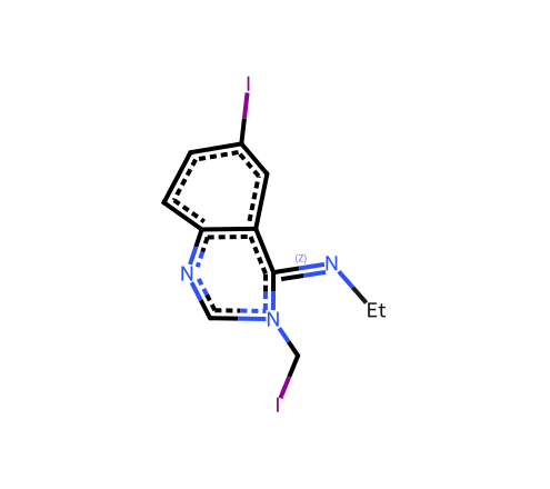 CC/N=c1/c2cc(I)ccc2ncn1CI